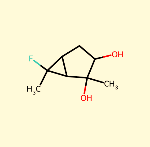 CC1(O)C(O)CC2C1C2(C)F